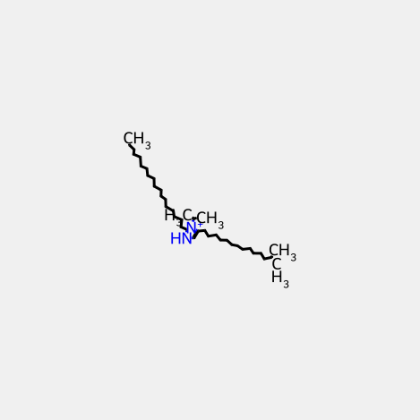 CCCCCCCCCCCCCCCCCCc1[nH]cc(CCCCCCCCCCCCC(C)C)[n+]1C(C)C